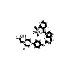 C[C@H](O)CN1CCN(c2ccc(Nc3ncc4ccn(Cc5cccnc5N(C)S(C)(=O)=O)c4n3)cc2)C[C@@H]1C